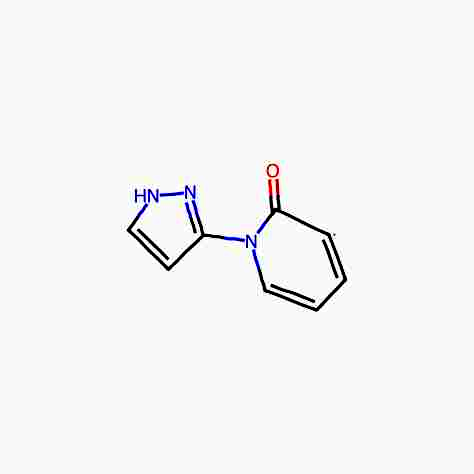 O=c1[c]cccn1-c1cc[nH]n1